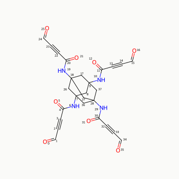 O=CC#CC(=O)NC12CC3(NC(=O)C#CC=O)CC(NC(=O)C#CC=O)(C1)CC(NC(=O)C#CC=O)(C2)C3